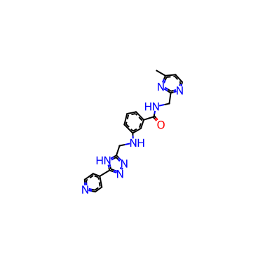 Cc1ccnc(CNC(=O)c2cccc(NCc3nnc(-c4ccncc4)[nH]3)c2)n1